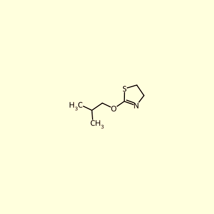 CC(C)COC1=NCCS1